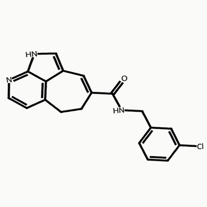 O=C(NCc1cccc(Cl)c1)C1=Cc2c[nH]c3nccc(c23)CC1